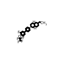 CCC1CC[C@@H]2C[C@H](c3ccc(-c4cc(F)c(OC(F)(F)C(F)F)c(F)c4)cc3)CC[C@@H]2C1